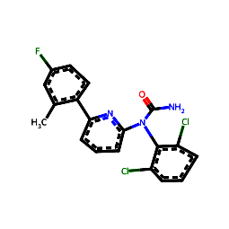 Cc1cc(F)ccc1-c1cccc(N(C(N)=O)c2c(Cl)cccc2Cl)n1